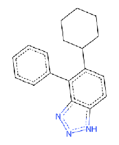 c1ccc(-c2c(C3CCCCC3)ccc3[nH]nnc23)cc1